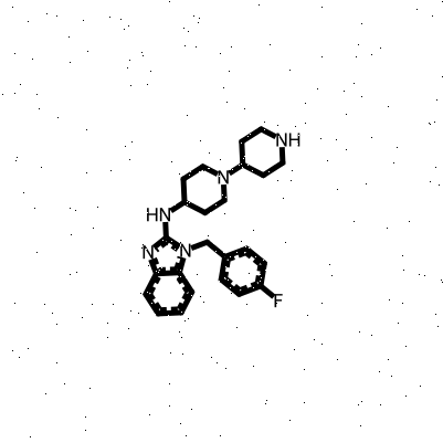 Fc1ccc(Cn2c(NC3CCN(C4CCNCC4)CC3)nc3ccccc32)cc1